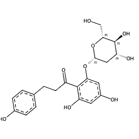 O=C(CCc1ccc(O)cc1)c1c(O)cc(O)cc1O[C@H]1C[C@@H](O)[C@H](O)[C@@H](CO)O1